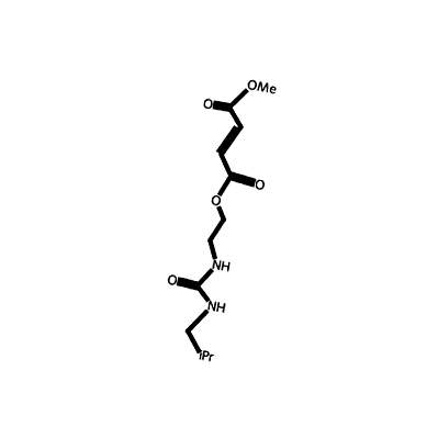 COC(=O)/C=C/C(=O)OCCNC(=O)NCC(C)C